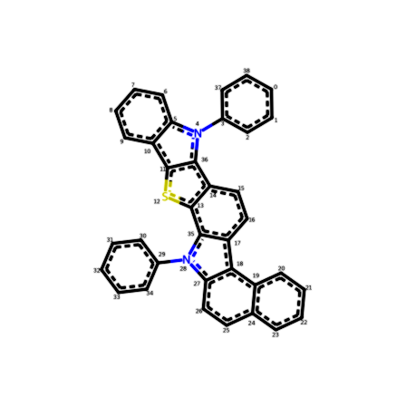 c1ccc(-n2c3ccccc3c3sc4c(ccc5c6c7ccccc7ccc6n(-c6ccccc6)c54)c32)cc1